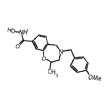 COc1ccc(CN2Cc3ccc(C(=O)NO)cc3OC(C)C2)cc1